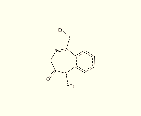 CCSC1=NCC(=O)N(C)c2ccccc21